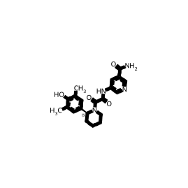 Cc1cc([C@@H]2CCCCN2C(=O)C(=O)Nc2cncc(C(N)=O)c2)cc(C)c1O